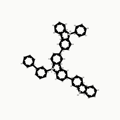 c1ccc(-c2cccc(-n3c4ccc(-c5ccc6c(c5)sc5ccccc56)cc4c4cc(-c5ccc6c(c5)c5ccccc5n6-c5ccccc5)ccc43)c2)cc1